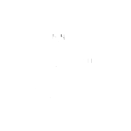 CCC1(C(C)N)CCC2CC2C1